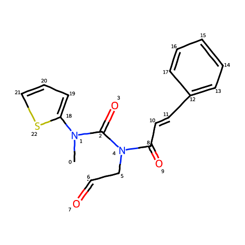 CN(C(=O)N(C[C]=O)C(=O)C=Cc1ccccc1)c1cccs1